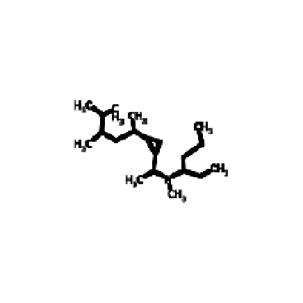 CCCC(CC)N(C)C(C)C1CC1C(C)CC(C)C(C)C